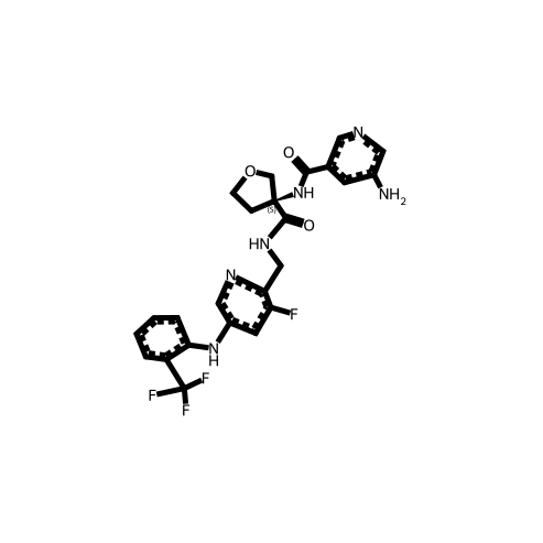 Nc1cncc(C(=O)N[C@@]2(C(=O)NCc3ncc(Nc4ccccc4C(F)(F)F)cc3F)CCOC2)c1